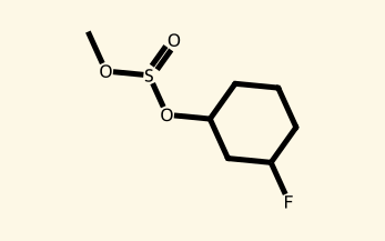 COS(=O)OC1CCCC(F)C1